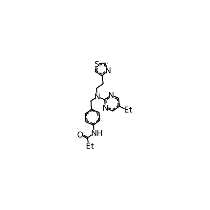 CCC(=O)Nc1ccc(CN(CCc2cs[c]n2)c2ncc(CC)cn2)cc1